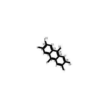 Cc1cc2c(C)c3cc(C)c(I)cc3c(C)c2cc1C